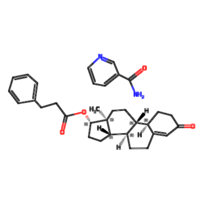 C[C@]12CC[C@H]3[C@@H](CCC4=CC(=O)CC[C@@H]43)[C@@H]1CC[C@@H]2OC(=O)CCc1ccccc1.NC(=O)c1cccnc1